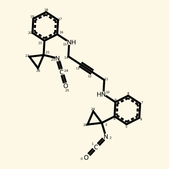 O=C=NC1(c2ccccc2NCC#CCNc2ccccc2C2(N=C=O)CC2)CC1